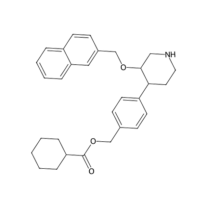 O=C(OCc1ccc(C2CCNCC2OCc2ccc3ccccc3c2)cc1)C1CCCCC1